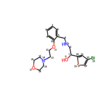 O[C@@H](CNCc1ccccc1OCCN1CCOCC1)c1cc(Br)cs1